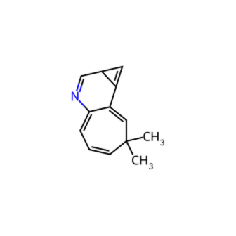 CC1(C)C=CC=C2N=CC3C=C3C2=C1